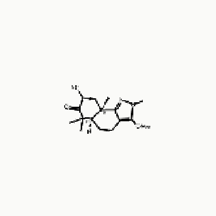 COc1c2c(nn1C)[C@@]1(C)CC(C#N)C(=O)C(C)(C)[C@@H]1CC2